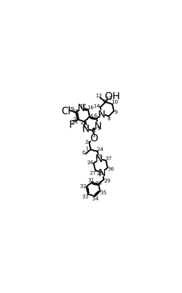 CC(COc1nc(N2CCCC(C)(O)C2)c2cnc(Cl)c(F)c2n1)CN1CCN(Cc2ccccc2)CC1